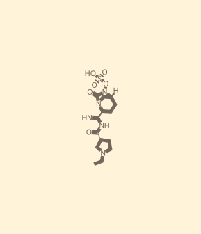 CCN1CC[C@@H](C(=O)NC(=N)[C@@H]2CC[C@@H]3CN2C(=O)N3OS(=O)(=O)O)C1